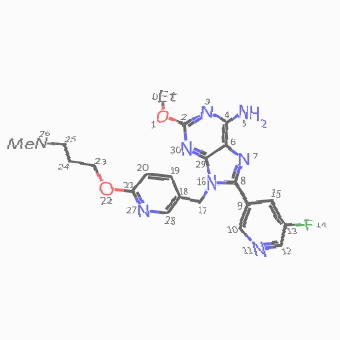 CCOc1nc(N)c2nc(-c3cncc(F)c3)n(Cc3ccc(OCCCNC)nc3)c2n1